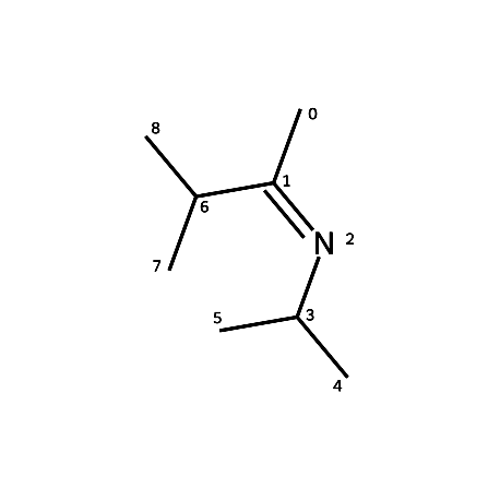 CC(=NC(C)C)C(C)C